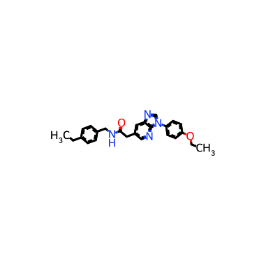 CCOc1ccc(-n2cnc3cc(CC(=O)NCc4ccc(CC)cc4)cnc32)cc1